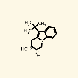 CC(C)(C)c1c2n(c3ccccc13)C[C@H](O)[C@H](O)C2